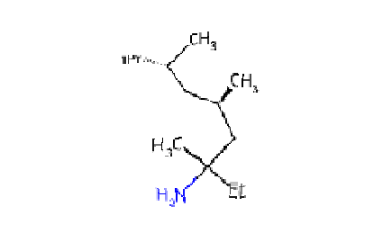 CCC(C)(N)C[C@H](C)C[C@@H](C)C(C)C